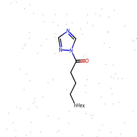 CCCCCCCCCC(=O)n1cncn1